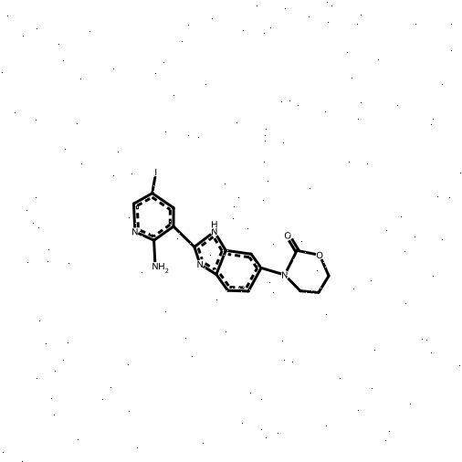 Nc1ncc(I)cc1-c1nc2ccc(N3CCCOC3=O)cc2[nH]1